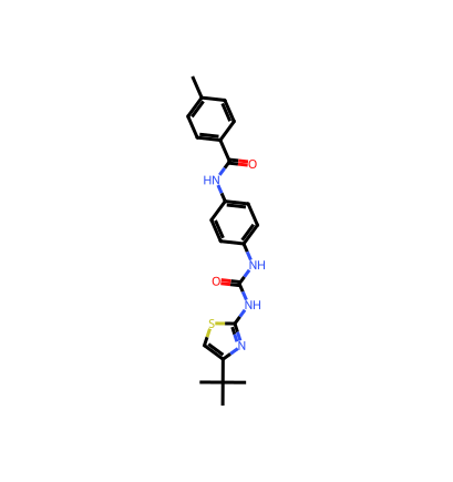 Cc1ccc(C(=O)Nc2ccc(NC(=O)Nc3nc(C(C)(C)C)cs3)cc2)cc1